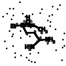 CCCCCCC.CCOCCC(N)N.Cl